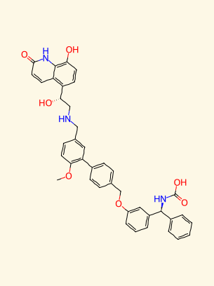 COc1ccc(CNC[C@H](O)c2ccc(O)c3[nH]c(=O)ccc23)cc1-c1ccc(COc2cccc([C@@H](NC(=O)O)c3ccccc3)c2)cc1